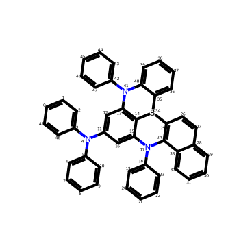 c1ccc(N(c2ccccc2)c2cc3c4c(c2)N(c2ccccc2)c2c(ccc5ccccc25)B4c2ccccc2N3c2ccccc2)cc1